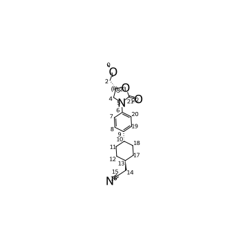 COC[C@H]1CN(c2ccc([C@H]3CC[C@H](CC#N)CC3)cc2)C(=O)O1